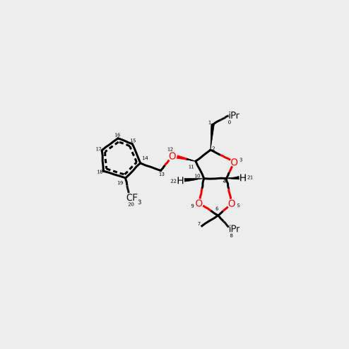 CC(C)C[C@H]1O[C@@H]2OC(C)(C(C)C)O[C@@H]2[C@H]1OCc1ccccc1C(F)(F)F